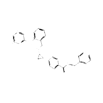 O=C(NCc1ccccc1)c1ccc([C@@H]2C[C@H]2NCc2ccccc2Oc2cnccn2)cc1